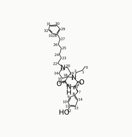 CCCN1C(=O)[C@@H](Cc2ccc(O)cc2)NC(=O)C12CCN(CCCCCCc1ccccc1)CC2